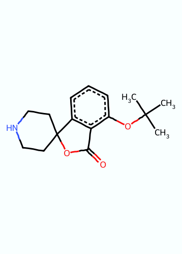 CC(C)(C)Oc1cccc2c1C(=O)OC21CCNCC1